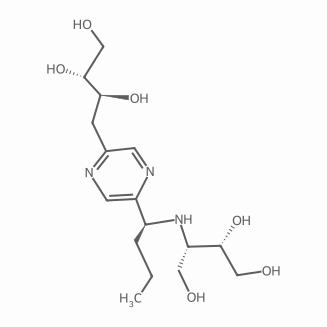 CCC[C@H](N[C@@H](CO)[C@H](O)CO)c1cnc(C[C@H](O)[C@H](O)CO)cn1